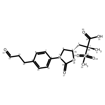 C[C@@](C[C@H]1CN(c2ccc(CCC=O)cc2)C(=O)O1)(C(=O)O)S(C)(=O)=O